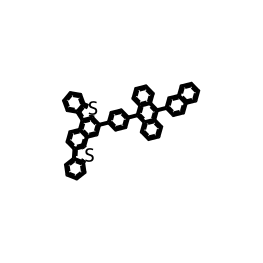 c1ccc2cc(-c3c4ccccc4c(-c4ccc(-c5cc6c(ccc7c8ccccc8sc76)c6c5sc5ccccc56)cc4)c4ccccc34)ccc2c1